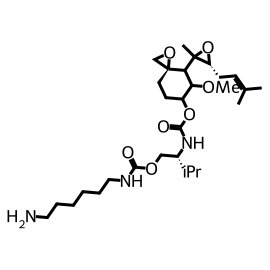 COC1C(OC(=O)N[C@@H](COC(=O)NCCCCCCN)C(C)C)CC[C@]2(CO2)C1C1(C)O[C@@H]1CC=C(C)C